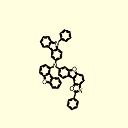 c1ccc(-c2nc3ccc4oc5cc(N(c6ccc7c(c6)c6ccccc6n7-c6ccccc6)c6cccc7oc8ccccc8c67)ccc5c4c3o2)cc1